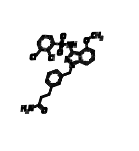 COc1cccc2c1c(NS(=O)(=O)c1cccc(Cl)c1Cl)nn2Cc1cccc(CCC(N)=O)c1